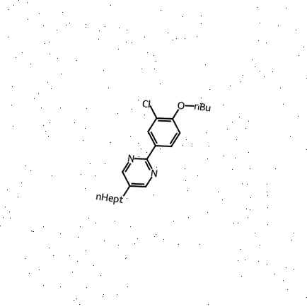 CCCCCCCc1cnc(-c2ccc(OCCCC)c(Cl)c2)nc1